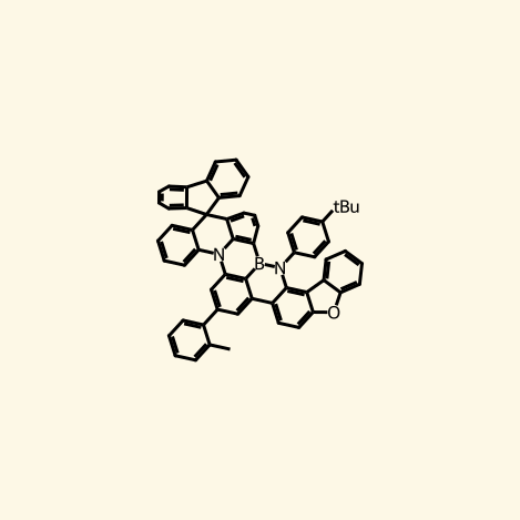 Cc1ccccc1-c1cc2c3c(c1)N1c4ccccc4C4(c5ccccc5-c5ccccc54)c4cccc(c41)B3N(c1ccc(C(C)(C)C)cc1)c1c-2ccc2oc3ccccc3c12